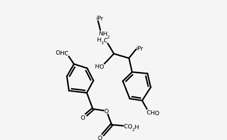 CC(C)C(c1ccc(C=O)cc1)C(C)O.CC(C)N.O=Cc1ccc(C(=O)OC(=O)C(=O)O)cc1